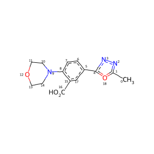 Cc1nnc(-c2ccc(N3CCOCC3)c(C(=O)O)c2)o1